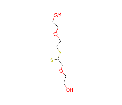 OCCOCCSC([S])COCCO